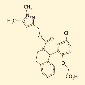 Cc1cc(COC(=O)N2CCc3ccccc3C2c2cc(Cl)ccc2OCC(=O)O)nn1C